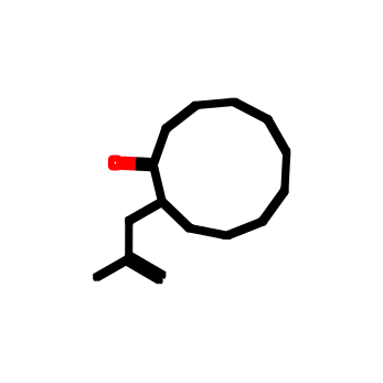 C=C(C)CC1CCCCCCCCCC1=O